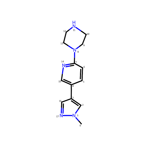 Cn1cc(-c2ccc(N3CCNCC3)nc2)cn1